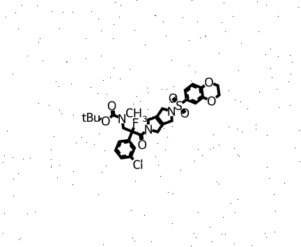 CN(CC(F)(C(=O)N1CC2=C(C1)CN(S(=O)(=O)c1ccc3c(c1)OCCO3)C2)c1cccc(Cl)c1)C(=O)OC(C)(C)C